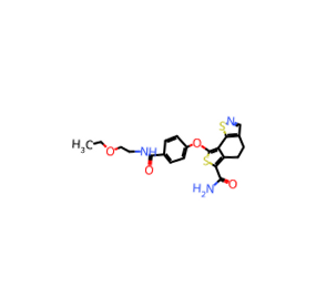 CCOCCNC(=O)c1ccc(Oc2sc(C(N)=O)c3c2-c2sncc2CC3)cc1